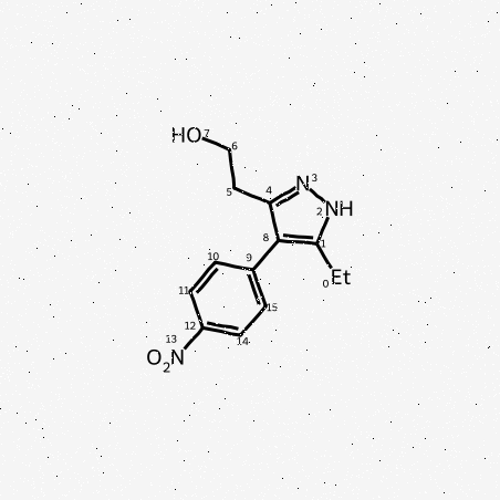 CCc1[nH]nc(CCO)c1-c1ccc([N+](=O)[O-])cc1